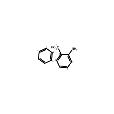 Nc1ccccc1C(=O)O.c1ccccc1